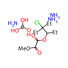 CCC(OC(=O)C(=O)OC)C(Cl)(CC)CC.N.N.N.OB(O)O